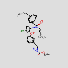 CC(=O)Nc1ccc(C(=O)N(CCCC(=O)O)c2ccc(Cl)cc2Oc2cccc(CNC(=O)OC(C)(C)C)c2)cc1